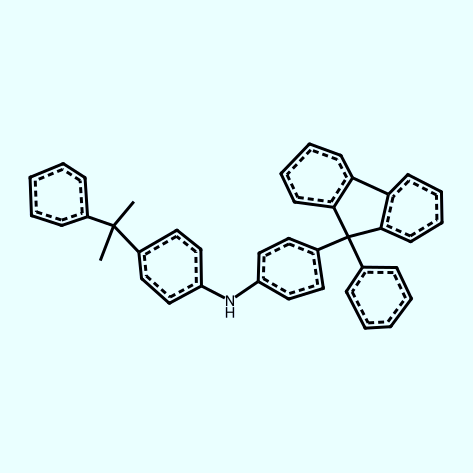 CC(C)(c1ccccc1)c1ccc(Nc2ccc(C3(c4ccccc4)c4ccccc4-c4ccccc43)cc2)cc1